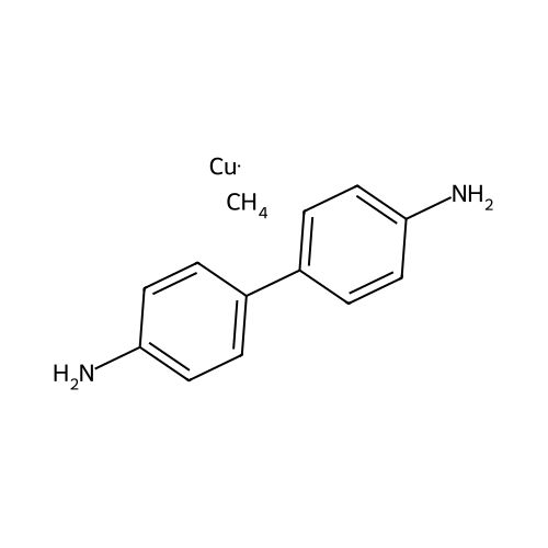 C.Nc1ccc(-c2ccc(N)cc2)cc1.[Cu]